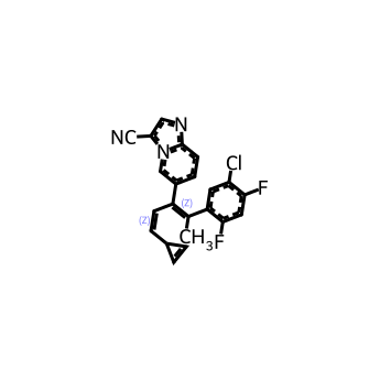 C/C(=C(\C=C/C1C=C1)c1ccc2ncc(C#N)n2c1)c1cc(Cl)c(F)cc1F